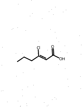 CCCC(Cl)=CC(=O)O